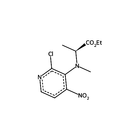 CCOC(=O)[C@H](C)N(C)c1c([N+](=O)[O-])ccnc1Cl